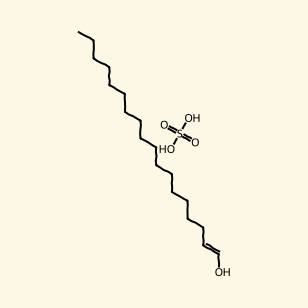 CCCCCCCCCCCCCCCCC=CO.O=S(=O)(O)O